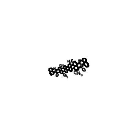 Cc1cc2c(=O)n3c4cccc5cccc(nc3c3cc(C)c6c7ccc8c9ccc%10c%11c(C)cc%12c%13c(cc(C)c(c%14ccc(c%15ccc(c1c6c23)c7c%158)c9c%14%10)c%11%13)c(=O)n1c2cccc3cccc(nc%121)c32)c54